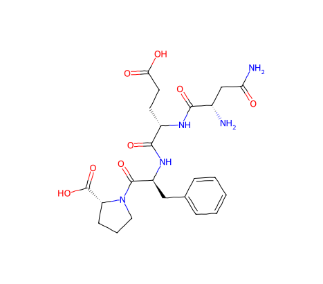 NC(=O)C[C@H](N)C(=O)N[C@@H](CCC(=O)O)C(=O)N[C@@H](Cc1ccccc1)C(=O)N1CCC[C@@H]1C(=O)O